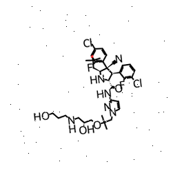 CC(C)(C)C[C@@H]1N[C@@H](C(=O)Nc2ccn(CC(C)(C)OC[C@H](O)CNCCCO)n2)[C@H](c2cccc(Cl)c2F)[C@@]1(C#N)c1ccc(Cl)cc1F